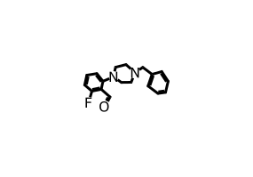 O=Cc1c(F)cccc1N1CCN(Cc2ccccc2)CC1